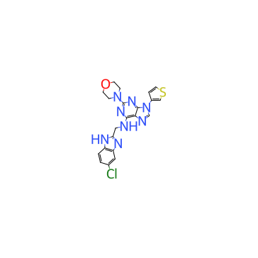 Clc1ccc2[nH]c(CNc3nc(N4CCOCC4)nc4c3ncn4-c3ccsc3)nc2c1